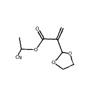 C=C(C(=O)OC(C)C#N)C1OCCO1